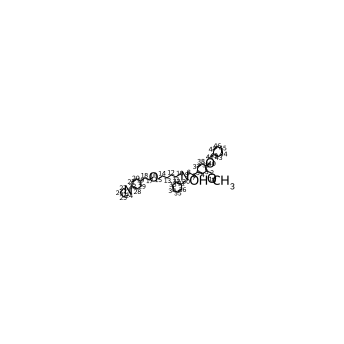 COCc1cc(C(O)CN(CCCCCCOCCc2ccc(N3CCCC3)cc2)Cc2ccccc2)ccc1OCc1ccccc1